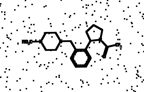 O=C(O)N1CCN(Cc2ccccc2C2CCCN2C(=O)C(F)(F)F)CC1